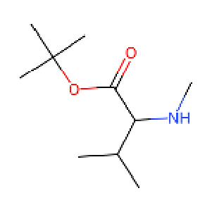 CNC(C(=O)OC(C)(C)C)C(C)C